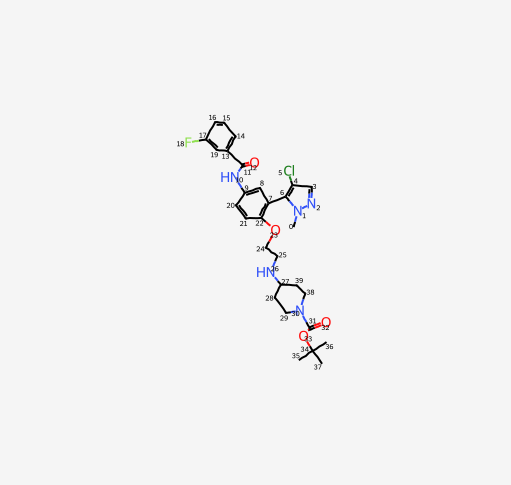 Cn1ncc(Cl)c1-c1cc(NC(=O)c2cccc(F)c2)ccc1OCCNC1CCN(C(=O)OC(C)(C)C)CC1